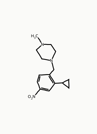 CN1CCN(Cc2ccc([N+](=O)[O-])cc2C2CC2)CC1